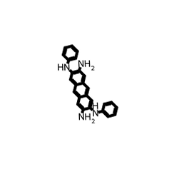 Nc1cc2cc3cc(Nc4ccccc4)c(N)cc3cc2cc1Nc1ccccc1